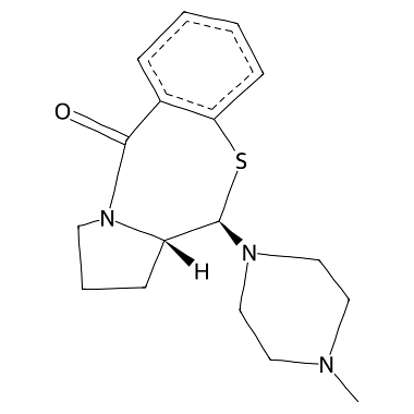 CN1CCN([C@@H]2Sc3ccccc3C(=O)N3CCC[C@@H]23)CC1